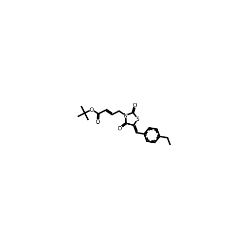 CCc1ccc(/C=C2\SC(=O)N(C/C=C/C(=O)OC(C)(C)C)C2=O)cc1